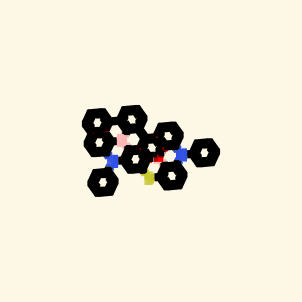 c1ccc(-c2cccc(-c3ccccc3)c2B2c3ccccc3N(c3ccccc3)c3cc4c(cc32)B2c3ccccc3N(c3ccccc3)c3cccc(c32)S4)cc1